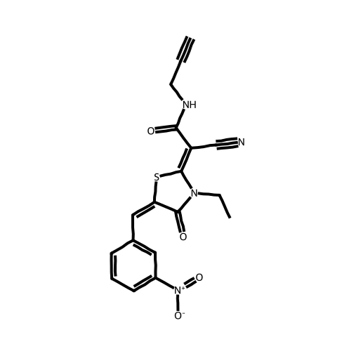 C#CCNC(=O)/C(C#N)=c1\sc(=Cc2cccc([N+](=O)[O-])c2)c(=O)n1CC